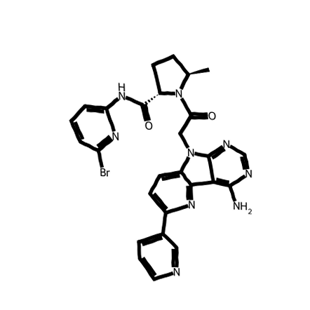 C[C@@H]1CC[C@@H](C(=O)Nc2cccc(Br)n2)N1C(=O)Cn1c2ccc(-c3cccnc3)nc2c2c(N)ncnc21